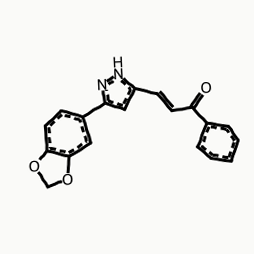 O=C(C=Cc1cc(-c2ccc3c(c2)OCO3)n[nH]1)c1ccccc1